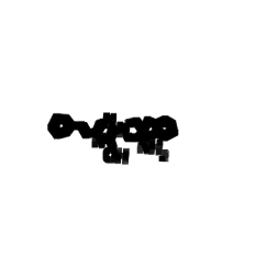 N[C@@H]1c2ccccc2CC12CCN(c1ncc(/C=C/c3ccccc3)nc1CO)CC2